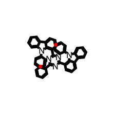 c1ccc(-c2nc(-c3cccc4c5ccccc5n(-c5ccccc5)c34)nc(-c3cccc4c5ccccc5n(-c5ccccc5)c34)n2)cc1